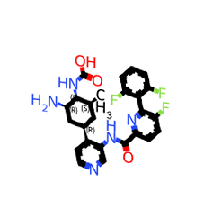 C[C@H]1C[C@@H](c2ccncc2NC(=O)c2ccc(F)c(-c3c(F)cccc3F)n2)C[C@@H](N)[C@H]1NC(=O)O